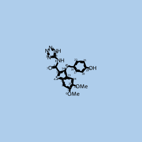 COc1cc2sc(C(=O)Nc3nnn[nH]3)c(Sc3ccc(O)cc3)c2cc1OC